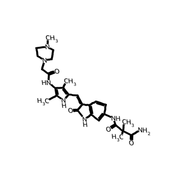 Cc1[nH]c(C=C2C(=O)Nc3cc(NC(=O)C(C)(C)C(N)=O)ccc32)c(C)c1NC(=O)CN1CCN(C)CC1